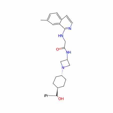 Cc1ccc2ccnc(NCC(=O)NC3CN([C@H]4CC[C@H](C(O)C(C)C)CC4)C3)c2c1